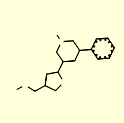 CC(C)OCC1CNC(C2CC(c3ccccc3)CN(C(C)(C)C)C2)C1